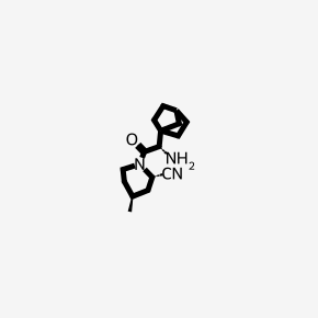 C[C@H]1CCN(C(=O)[C@@H](N)C23CCC(CC2)C3)[C@H](C#N)C1